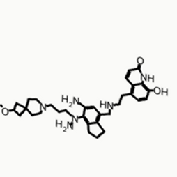 COC1CC2(CCN(CCCN(N)c3c(N)cc(CNCCc4ccc(O)c5[nH]c(=O)ccc45)c4c3CCC4)CC2)C1